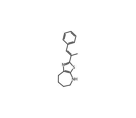 CC(=Cc1ccccc1)c1nc2c(s1)NCCCC2